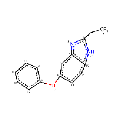 FC(F)(F)Cc1nc2cc(Oc3ccccc3)ccc2[nH]1